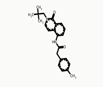 Cc1ccc(CC(=O)Nc2cccc3c(=O)n(CC(C)(C)C)ccc23)cc1